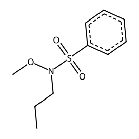 CCCN(OC)S(=O)(=O)c1ccccc1